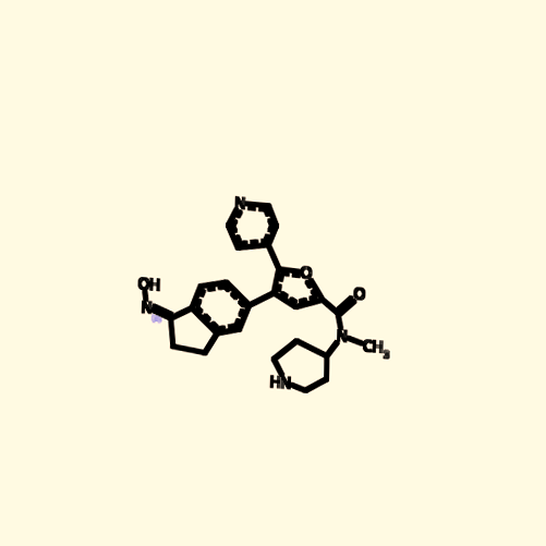 CN(C(=O)c1cc(-c2ccc3c(c2)CC/C3=N/O)c(-c2ccncc2)o1)C1CCNCC1